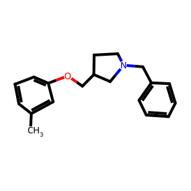 Cc1cccc(OCC2CCN(Cc3ccccc3)C2)c1